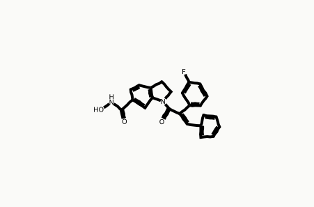 O=C(NO)c1ccc2c(c1)N(C(=O)C(=Cc1ccccc1)c1cccc(F)c1)CC2